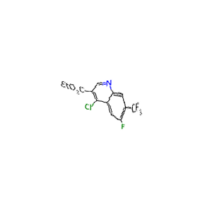 CCOC(=O)c1cnc2cc(C(F)(F)F)c(F)cc2c1Cl